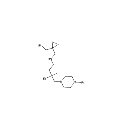 CCC(C)(CCNCC1(CC(C)C)CC1)CN1CCN(C(C)C)CC1